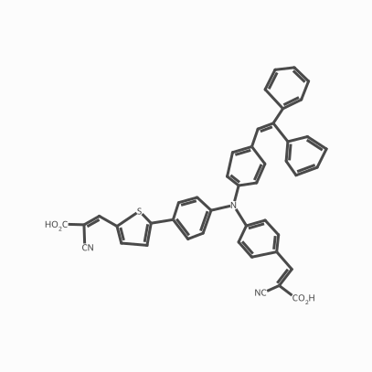 N#C/C(=C\c1ccc(N(c2ccc(C=C(c3ccccc3)c3ccccc3)cc2)c2ccc(-c3ccc(/C=C(\C#N)C(=O)O)s3)cc2)cc1)C(=O)O